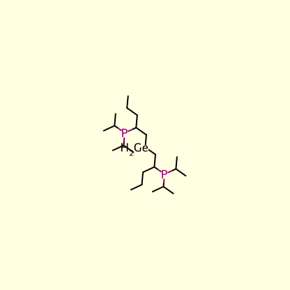 CCCC([CH2][GeH2][CH2]C(CCC)P(C(C)C)C(C)C)P(C(C)C)C(C)C